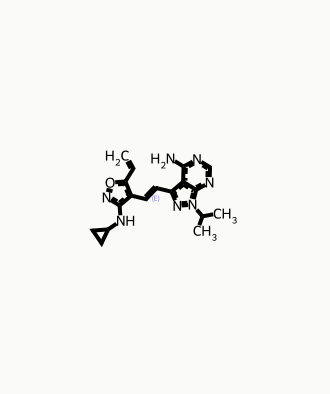 C=Cc1onc(NC2CC2)c1/C=C/c1nn(C(C)C)c2ncnc(N)c12